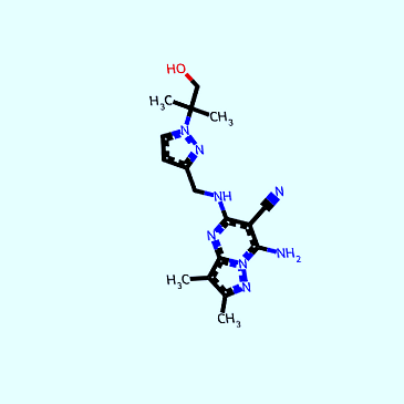 Cc1nn2c(N)c(C#N)c(NCc3ccn(C(C)(C)CO)n3)nc2c1C